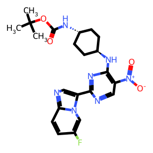 CC(C)(C)OC(=O)N[C@H]1CC[C@H](Nc2nc(-c3cnc4ccc(F)cn34)ncc2[N+](=O)[O-])CC1